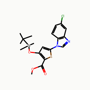 COC(=O)c1sc(-n2cnc3cc(Cl)ccc32)cc1O[Si](C)(C)C(C)(C)C